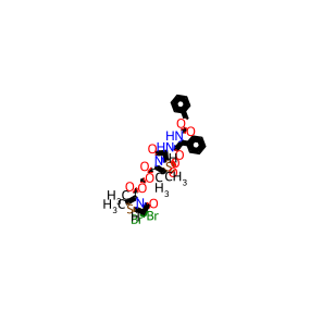 CC1(C)S[C@H]2N(C(=O)C2(Br)Br)[C@H]1C(=O)OCOC(=O)[C@@H]1N2C(=O)[C@@H](NC(=O)C(NC(=O)OCc3ccccc3)c3ccccc3)[C@H]2S(=O)(=O)C1(C)C